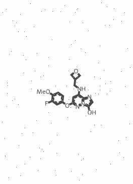 COc1ccc(Oc2cc(NCC3COC3)c3ncc(O)n3n2)cc1F